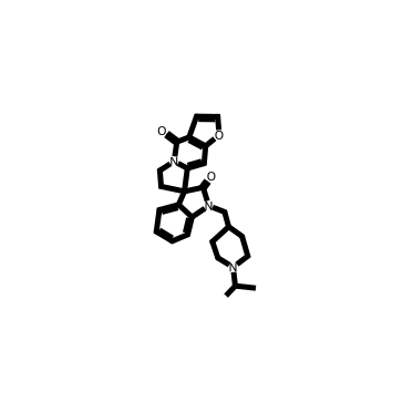 CC(C)N1CCC(CN2C(=O)C3(CCn4c3cc3occc3c4=O)c3ccccc32)CC1